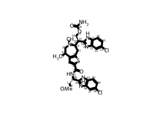 COC[C@H](NC(=O)c1cc2c(s1)CC([C@@H](COC(N)=O)c1nc3cc(Cl)ccc3[nH]1)N(C)CC2C)c1nc2cc(Cl)ccc2[nH]1